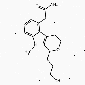 Cn1c2c(c3c(CC(N)=O)cccc31)CCOC2CCCO